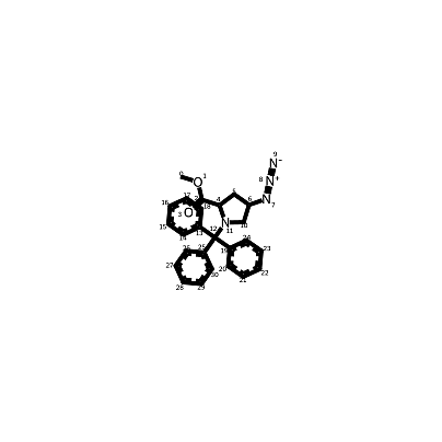 COC(=O)C1CC(N=[N+]=[N-])CN1C(c1ccccc1)(c1ccccc1)c1ccccc1